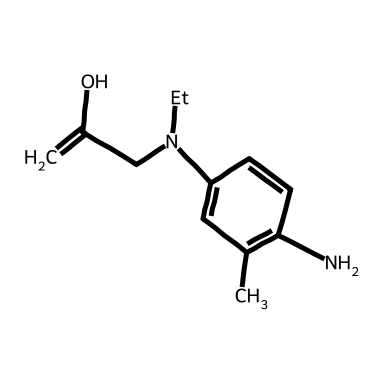 C=C(O)CN(CC)c1ccc(N)c(C)c1